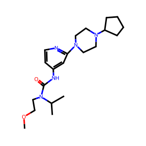 COCCN(C(=O)Nc1ccnc(N2CCN(C3CCCC3)CC2)c1)C(C)C